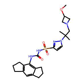 COC1CN(CC(C)(C)n2ccc(S(=O)(=O)NC(=O)Nc3c4c(cc5c3CCC5)CCC4)n2)C1